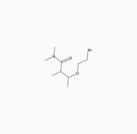 CC(C)CCOC(C)C(C)C(=O)N(C)C